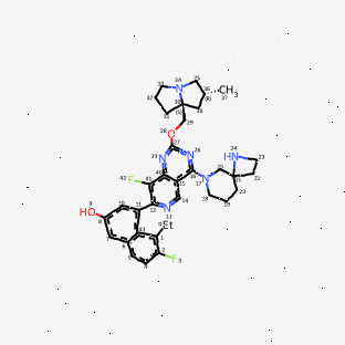 CCc1c(F)ccc2cc(O)cc(-c3ncc4c(N5CCCC6(CCN6)C5)nc(OC[C@@]56CCCN5C[C@H](C)C6)nc4c3F)c12